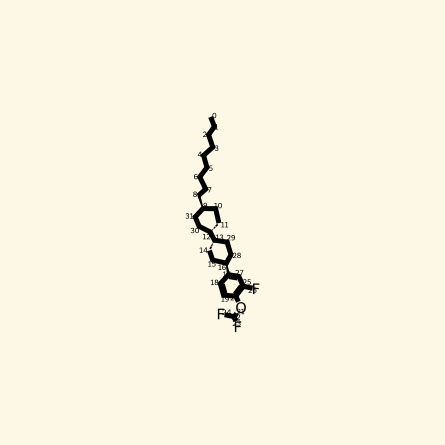 CCCCCCCCC[C@H]1CC[C@H]([C@H]2CC[C@H](c3ccc(OC(F)F)c(F)c3)CC2)CC1